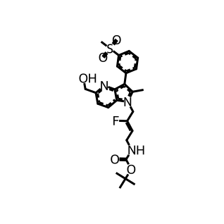 Cc1c(-c2cccc(S(C)(=O)=O)c2)c2nc(CO)ccc2n1C/C(F)=C/CNC(=O)OC(C)(C)C